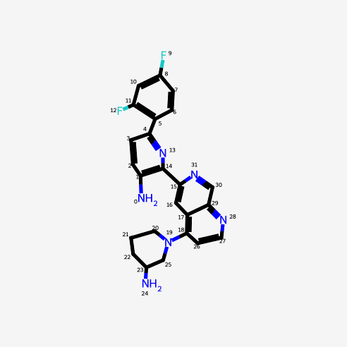 Nc1ccc(-c2ccc(F)cc2F)nc1-c1cc2c(N3CCCC(N)C3)ccnc2cn1